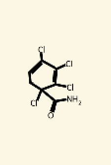 NC(=O)C1(Cl)CC=C(Cl)C(Cl)=C1Cl